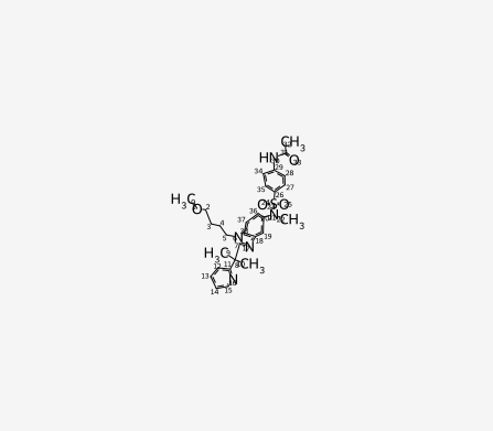 COCCCCn1c(C(C)(C)c2ccccn2)nc2cc(N(C)S(=O)(=O)c3ccc(NC(C)=O)cc3)ccc21